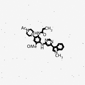 C=CC(=O)Nc1cc(Nc2cc(-c3cn(C)c4ccccc34)ncn2)c(OC)cc1N1CCN(C(C)=O)CC1